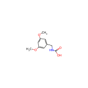 COc1cc(CNC(=O)O)cc(OC)c1